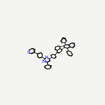 c1ccc(-c2cc(-c3ccc(-c4ccc5c6c(cccc46)-c4c-5c(-c5ccccc5)c5ccccc5c4-c4ccccc4)cc3)nc(-c3ccc(-c4cccnc4)cc3)n2)cc1